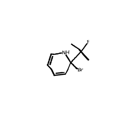 CC(C)(F)C1(Br)C=CC=CN1